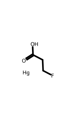 O=C(O)CCF.[Hg]